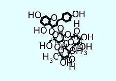 C[C@@H]1O[C@@H](O[C@H]2[C@@H](Oc3c(-c4ccc(O)cc4)oc4cc(O)cc(O)c4c3=O)O[C@H](CO)[C@H](O)[C@@H]2O[C@@H]2O[C@@H](C)[C@H](O)[C@@H](O)[C@H]2O)[C@H](O)[C@H](O)[C@H]1O